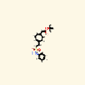 CC(C)(C)OC(=O)CC1CCC=C(CCS(=O)(=O)Nc2ccccc2)CC1